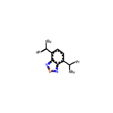 CCCCC(CCC)c1ccc(C(CCC)CCCC)c2nsnc12